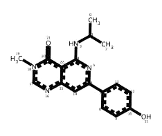 CC(C)Nc1nc(-c2ccc(O)cc2)cc2ncn(C)c(=O)c12